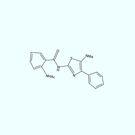 CNc1sc(NC(=O)c2ccccc2NC(C)=O)nc1-c1ccccc1